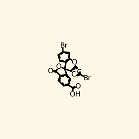 O=C(O)c1ccc2c(c1)C1(OC2=O)c2ccc(Br)cc2Oc2cc(Br)ccc21